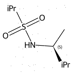 CC(C)[C@H](C)NS(=O)(=O)C(C)C